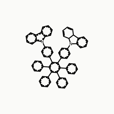 C1=CC2c3ccccc3N(c3ccc(-c4c(-c5ccccc5)c(-c5ccccc5)c(-c5ccccc5)c(-c5ccccc5)c4-c4ccc(-n5c6ccccc6c6ccccc65)cc4)cc3)C2C=C1